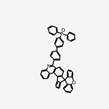 O=P(c1ccccc1)(c1ccccc1)c1ccc(-c2ccc(-c3nc4ccccc4c4c5c(ccc34)C3(c4ccccc4Oc4ccccc43)c3ccccc3-5)cc2)cc1